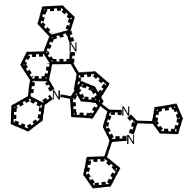 c1ccc(-c2cc(-c3ccc(-c4nc5ccccc5c5ccc6c7ccccc7n(-c7ccccc7)c6c45)cc3)nc(-c3ccccc3)n2)cc1